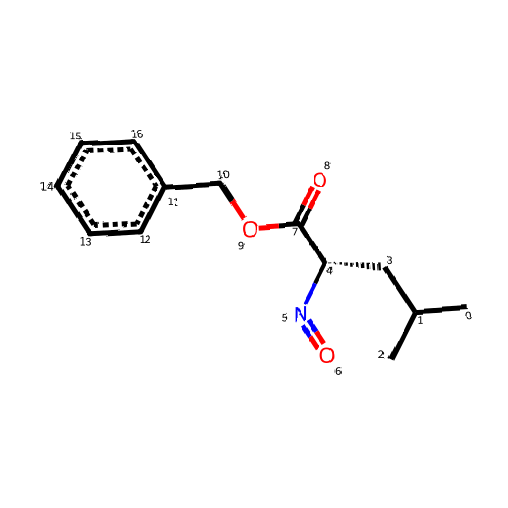 CC(C)C[C@H](N=O)C(=O)OCc1ccccc1